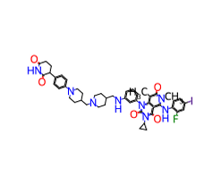 Cc1c(=O)n(C)c(Nc2ccc(I)cc2F)c2c(=O)n(C3CC3)c(=O)n(-c3cccc(NCC4CCN(CC5CCN(c6ccc(C7CCC(=O)NC7=O)cc6)CC5)CC4)c3)c12